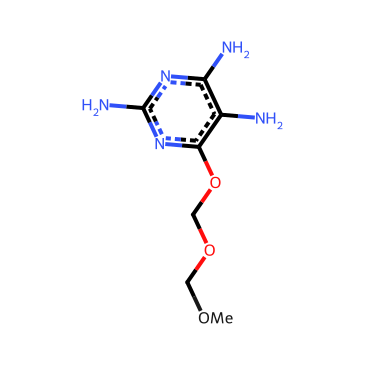 COCOCOc1nc(N)nc(N)c1N